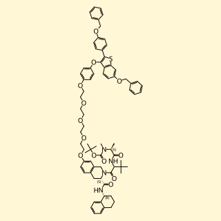 C[C@@H](C(=O)NC(C(=O)N1Cc2cc(OCCOCCOCCOCCOc3ccc(Oc4c(-c5ccc(OCc6ccccc6)cc5)sc5cc(OCc6ccccc6)ccc45)cc3)ccc2C[C@H]1C(=O)N[C@@H]1CCCc2ccccc21)C(C)(C)C)N(C)C(=O)OC(C)(C)C